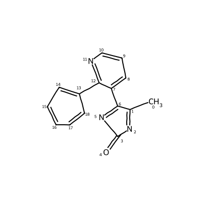 CC1=NC(=O)N=C1c1cccnc1-c1ccccc1